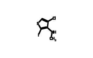 CNc1c(Cl)csc1I